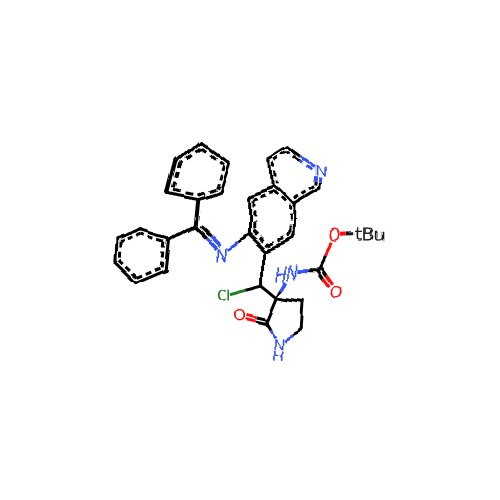 CC(C)(C)OC(=O)N[C@@]1(C(Cl)c2cc3cnccc3cc2N=C(c2ccccc2)c2ccccc2)CCNC1=O